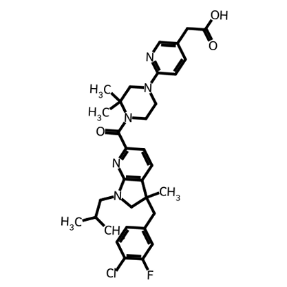 CC(C)CN1CC(C)(Cc2ccc(Cl)c(F)c2)c2ccc(C(=O)N3CCN(c4ccc(CC(=O)O)cn4)CC3(C)C)nc21